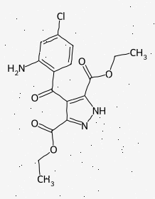 CCOC(=O)c1n[nH]c(C(=O)OCC)c1C(=O)c1ccc(Cl)cc1N